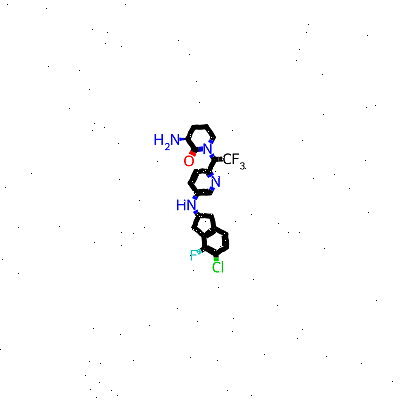 N[C@H]1CCCN(C(c2ccc(NC3Cc4ccc(Cl)c(F)c4C3)cn2)C(F)(F)F)C1=O